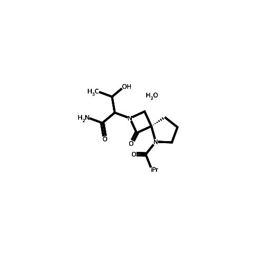 CC(C)C(=O)N1CCC[C@]12CN(C(C(N)=O)C(C)O)C2=O.O